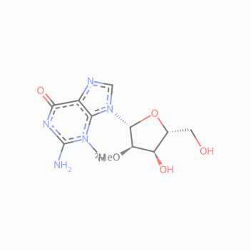 [2H]n1c(N)nc(=O)c2ncn([C@@H]3O[C@H](CO)[C@@H](O)[C@H]3OC)c21